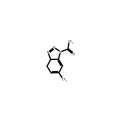 O=C(N1N=NC2CC=C(C(F)(F)F)C=C21)C(F)(F)F